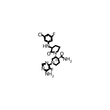 NC(=O)[C@H]1CCN(c2ncnc(N)c2F)C[C@@H]1N1CCCC(Nc2cc(F)cc(Cl)c2)C1=O